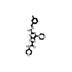 Cc1cccc(/C=N/Nc2nc(N3CCOCC3)c3sc(C(=O)NC4CCOCC4)nc3n2)c1